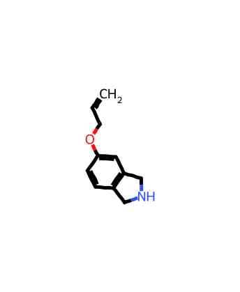 C=CCOc1ccc2c(c1)CNC2